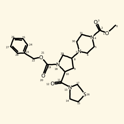 COC(=O)N1CCN(C2CC(C(=O)N3CCSC3)N(C(=O)OCc3ccccc3)C2)CC1